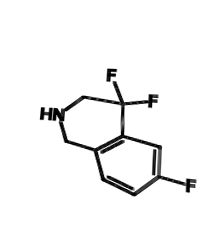 Fc1ccc2c(c1)C(F)(F)CNC2